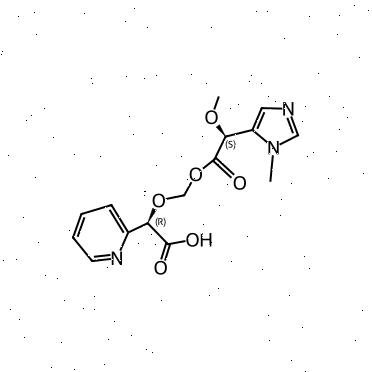 CO[C@H](C(=O)OCO[C@@H](C(=O)O)c1ccccn1)c1cncn1C